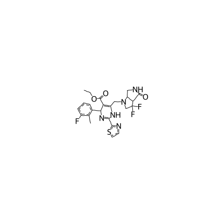 CCOC(=O)C1=C(CN2CC(F)(F)C3C(=O)NCC32)NC(c2nccs2)=NC1c1cccc(F)c1C